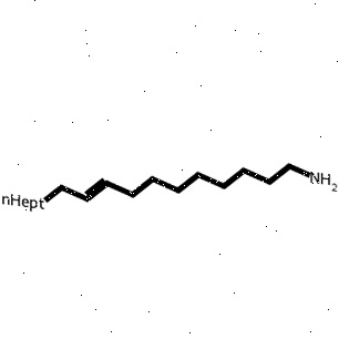 CCCCCCCCC=CCCCCCCCCN